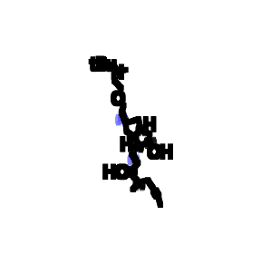 CC#CC[C@@H](C)[C@H](O)/C=C/[C@@H]1[C@H]2C/C(=C/COCCN(C)C(C)(C)C)C[C@H]2C[C@H]1O